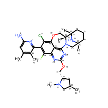 Cc1cc(N)nc(-c2c(Cl)c3c4c(nc(OC[C@@H]5C[C@@H](C(F)(F)F)CN5C)nc4c2F)N2C[C@H]4CCC[C@H](N4)[C@H]2CO3)c1C(F)(F)F